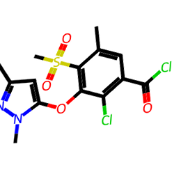 Cc1cc(Oc2c(Cl)c(C(=O)Cl)cc(C)c2S(C)(=O)=O)n(C)n1